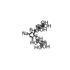 Fc1c[c]([Na])c(F)c(F)c1F.OB(O)O.OB(O)O.OB(O)O.OB(O)O